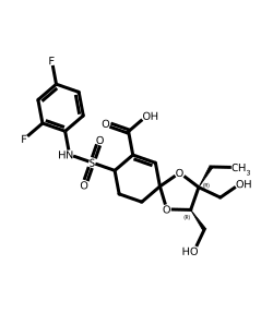 CC[C@]1(CO)OC2(C=C(C(=O)O)C(S(=O)(=O)Nc3ccc(F)cc3F)CC2)O[C@@H]1CO